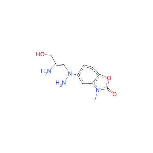 Cn1c(=O)oc2ccc(N(N)/C=C(\N)CO)cc21